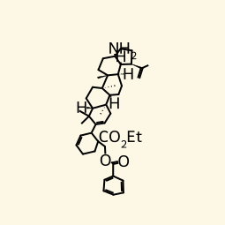 C=C(C)[C@@H]1CC[C@]2(N)CC[C@]3(C)[C@H](CC[C@@H]4[C@@]5(C)CC=C(C6C=CCC[C@]6(COC(=O)c6ccccc6)C(=O)OCC)C(C)(C)[C@@H]5CC[C@]43C)[C@@H]12